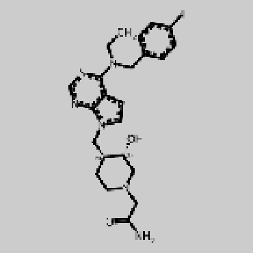 CCN(Cc1ccc(I)cc1)c1ncnc2c1ccn2C[C@@H]1CCN(CC(N)=O)C[C@H]1O